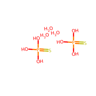 O.O.O.OP(O)(O)=S.OP(O)(O)=S